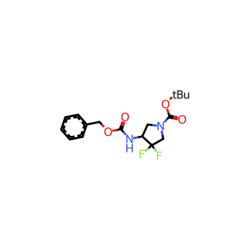 CC(C)(C)OC(=O)N1CC(NC(=O)OCc2ccccc2)C(F)(F)C1